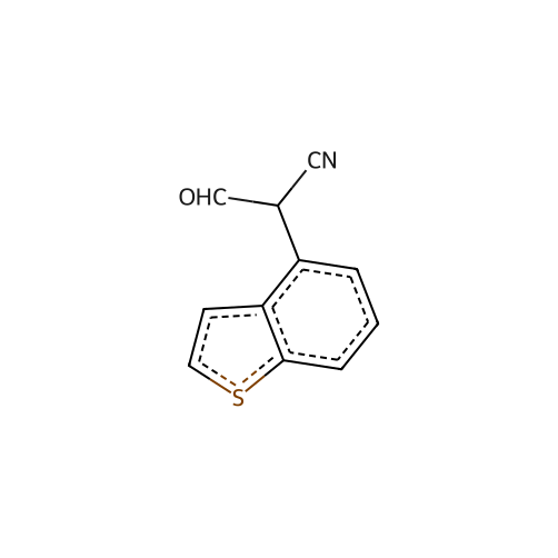 N#CC(C=O)c1cccc2sccc12